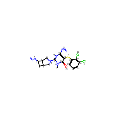 Cn1c(N2CC3CC(N)C3C2)nc(N)c(Sc2cccc(Cl)c2Cl)c1=O